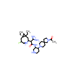 CCC12CC(C(C(=O)NC3CNCCC3N3CCC4(CCN(C(C)=O)C4)CC3)C(N)N)/N=C\C(F)C[C@@]1(CC)C2